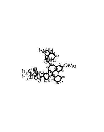 COc1ccc2c(c1)C=C(C(=O)N1CCC[C@H]3CNC[C@H]31)Cn1c-2c(C2CCCCC2)c2ccc(C(=O)NS(=O)(=O)N(C)C)cc21